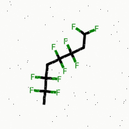 CC(F)(F)C(F)(F)CC(F)(F)C(F)(F)CC(F)F